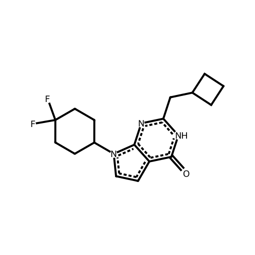 O=c1[nH]c(CC2CCC2)nc2c1ccn2C1CCC(F)(F)CC1